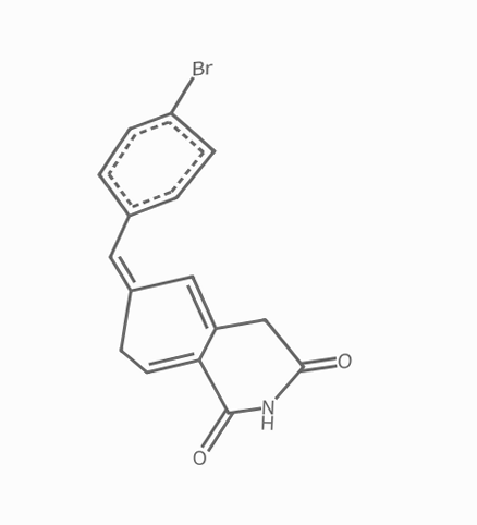 O=C1CC2=CC(=Cc3ccc(Br)cc3)CC=C2C(=O)N1